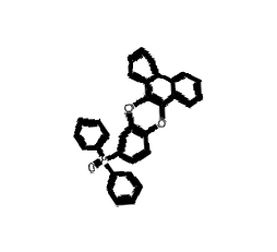 O=P(c1ccccc1)(c1ccccc1)c1ccc2c(c1)Oc1c(c3ccccc3c3ccccc13)O2